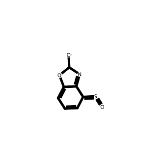 [O]C1N=C2C(=CC=CC2=S=O)O1